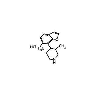 CC1CNCCC1c1c(C(F)(F)F)ccc2ccoc12.Cl